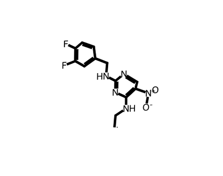 [CH2]CNc1nc(NCc2ccc(F)c(F)c2)ncc1[N+](=O)[O-]